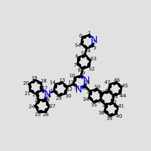 c1cncc(-c2ccc(-c3cc(-c4ccc(-n5c6ccccc6c6ccccc65)cc4)nc(-c4ccc5c6ccccc6c6ccccc6c5c4)n3)cc2)c1